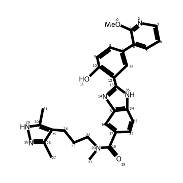 COc1ncccc1-c1ccc(O)c(-c2nc3cc(C(=O)N(C)CCCc4c(C)n[nH]c4C)ccc3[nH]2)c1